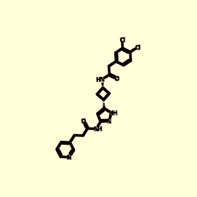 O=C(CCc1cccnc1)Nc1cc([C@H]2C[C@@H](NC(=O)Cc3ccc(Cl)c(Cl)c3)C2)[nH]n1